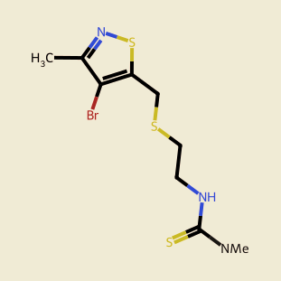 CNC(=S)NCCSCc1snc(C)c1Br